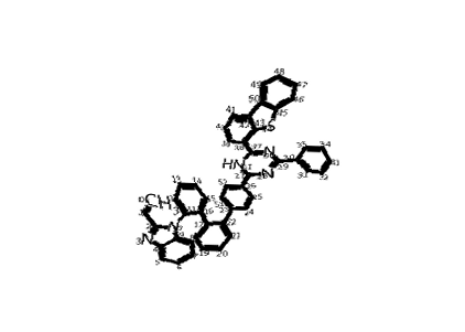 CCc1nc2ccccc2n1-c1ccccc1-c1ccccc1-c1ccc(C2N=C(c3ccccc3)N=C(c3cccc4c3sc3ccccc34)N2)cc1